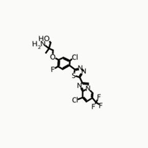 CC(N)(CO)COc1cc(Cl)c(-c2nnc(-c3cn4cc(C(F)(F)F)cc(Cl)c4n3)s2)cc1F